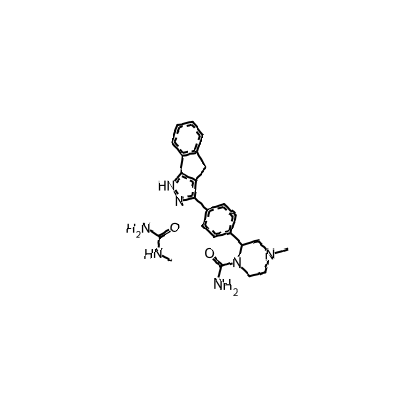 CN1CCN(C(N)=O)C(c2ccc(-c3n[nH]c4c3Cc3ccccc3-4)cc2)C1.CNC(N)=O